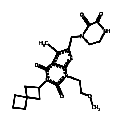 COCCn1c(=O)n(C2CC3(CCC3)C2)c(=O)c2c(C)c(CN3CCNC(=O)C3=O)sc21